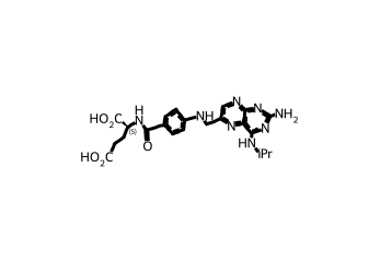 CC(C)Nc1nc(N)nc2ncc(CNc3ccc(C(=O)N[C@@H](CCC(=O)O)C(=O)O)cc3)nc12